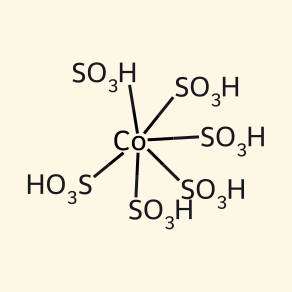 O=[S](=O)(O)[Co]([S](=O)(=O)O)([S](=O)(=O)O)([S](=O)(=O)O)([S](=O)(=O)O)[S](=O)(=O)O